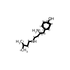 CC(C)CCNCC[C@@H](N)[CH]c1ccc(O)cc1